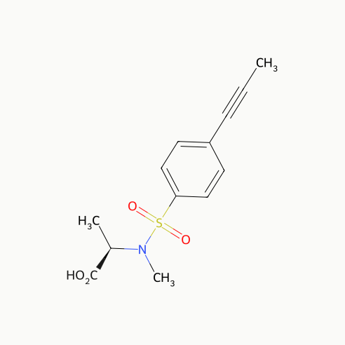 CC#Cc1ccc(S(=O)(=O)N(C)[C@H](C)C(=O)O)cc1